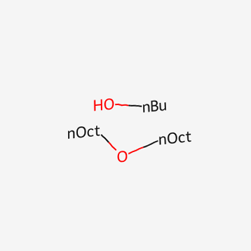 CCCCCCCCOCCCCCCCC.CCCCO